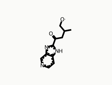 CC(C[O])CC(=O)c1nc2cnccc2[nH]1